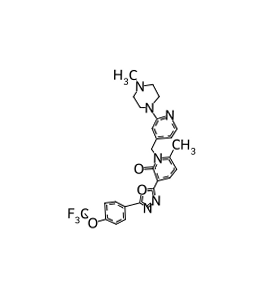 Cc1ccc(-c2nnc(-c3ccc(OC(F)(F)F)cc3)o2)c(=O)n1Cc1ccnc(N2CCN(C)CC2)c1